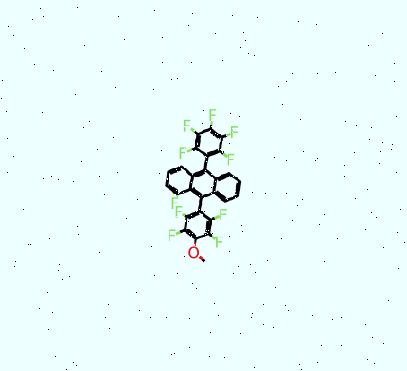 COc1c(F)c(F)c(-c2c3ccccc3c(-c3c(F)c(F)c(F)c(F)c3F)c3cccc(F)c23)c(F)c1F